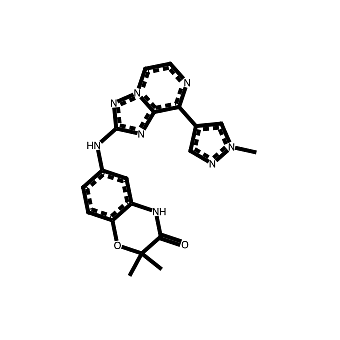 Cn1cc(-c2nccn3nc(Nc4ccc5c(c4)NC(=O)C(C)(C)O5)nc23)cn1